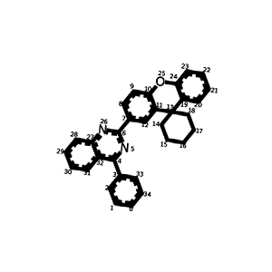 c1ccc(-c2nc(-c3ccc4c(c3)C3(CCCCC3)c3ccccc3O4)nc3ccccc23)cc1